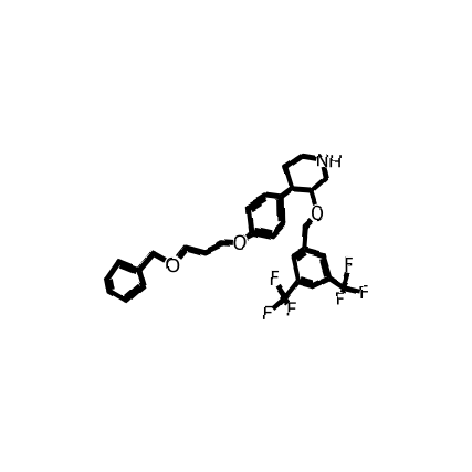 FC(F)(F)c1cc(COC2CNCCC2c2ccc(OCCCOCc3ccccc3)cc2)cc(C(F)(F)F)c1